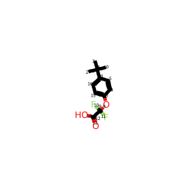 CC(C)(C)c1ccc(OC(F)(F)C(=O)O)cc1